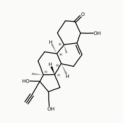 C#CC1(O)C(O)C[C@H]2[C@@H]3CC=C4C(O)C(=O)CC[C@]4(C)[C@@H]3CC[C@@]21C